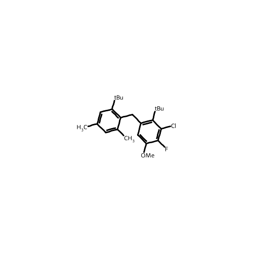 COc1cc(Cc2c(C)cc(C)cc2C(C)(C)C)c(C(C)(C)C)c(Cl)c1F